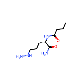 CCCC(=O)N[C@@H](CCCNN)C(N)=O